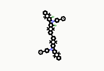 CC1(C)c2ccccc2C(C)(C)c2cc3c(cc21)c1cc2c(cc1n3-c1ccc(C34CCC(CC3)CC4)cc1)C(C)(C)c1cc(-c3ccc4c(c3)C(C)(C)c3c(cc5c6cc7c(c(Br)c6n(-c6ccc(C89CCC(CC8)CC9)cc6)c5c3Br)C(C)(C)c3ccccc3C7(C)C)C4(C)C)ccc1C2(C)C